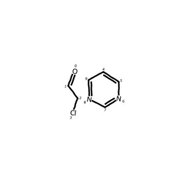 O=CCCl.c1cncnc1